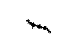 CCCCCCc1ccc(C#Cc2ccc(C#Cc3ccc(CCCCCC)cc3F)cc2)cc1